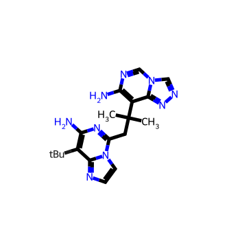 CC(C)(C)c1c(N)nc(CC(C)(C)c2c(N)ncn3cnnc23)n2ccnc12